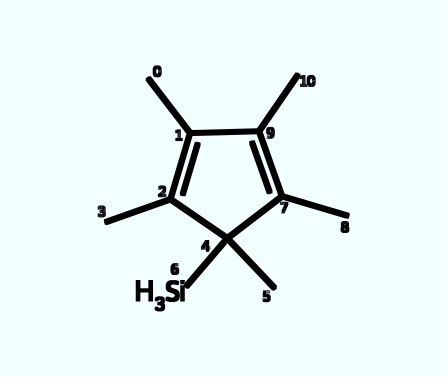 CC1=C(C)C(C)([SiH3])C(C)=C1C